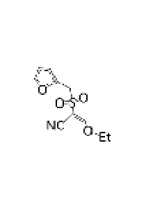 CCOC=C(C#N)S(=O)(=O)Cc1ccco1